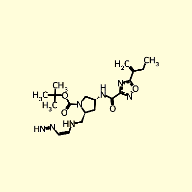 C=C(CC)c1nc(C(=O)N[C@@H]2C[C@@H](CN/C=C\N=N)N(C(=O)OC(C)(C)C)C2)no1